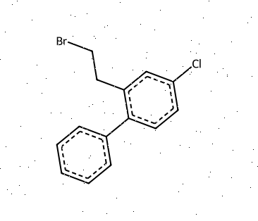 Clc1ccc(-c2ccccc2)c(CCBr)c1